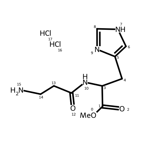 COC(=O)C(Cc1c[nH]cn1)NC(=O)CCN.Cl.Cl